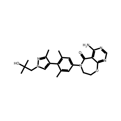 Cc1cc(N2CCOc3ncnc(N)c3C2=O)cc(C)c1-c1cn(CC(C)(C)O)nc1C